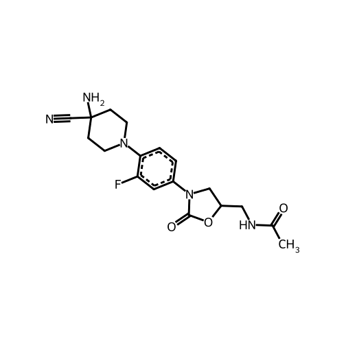 CC(=O)NCC1CN(c2ccc(N3CCC(N)(C#N)CC3)c(F)c2)C(=O)O1